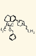 CCCN1CCN(c2ccc3c(c2)C(N(CC)C(=O)OCc2ccccc2)CCC3)CC1